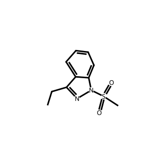 CCc1nn(S(C)(=O)=O)c2ccccc12